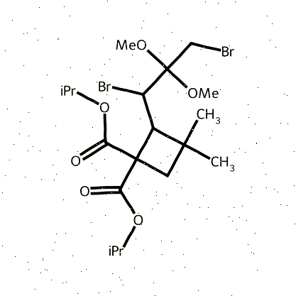 COC(CBr)(OC)C(Br)C1C(C)(C)CC1(C(=O)OC(C)C)C(=O)OC(C)C